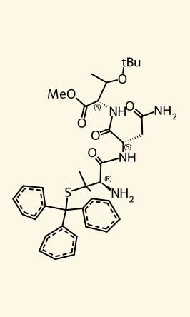 COC(=O)[C@@H](NC(=O)[C@H](CC(N)=O)NC(=O)[C@@H](N)C(C)(C)SC(c1ccccc1)(c1ccccc1)c1ccccc1)C(C)OC(C)(C)C